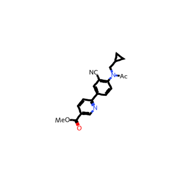 COC(=O)c1ccc(-c2ccc(N(CC3CC3)C(C)=O)c(C#N)c2)nc1